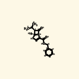 CC(C)[C@H]1C(=O)N2C(C(=O)OCc3ccccc3)=CS[C@@H]12